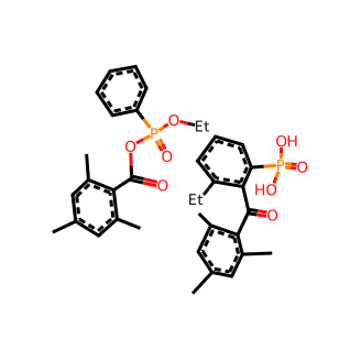 CCOP(=O)(OC(=O)c1c(C)cc(C)cc1C)c1ccccc1.CCc1cccc(P(=O)(O)O)c1C(=O)c1c(C)cc(C)cc1C